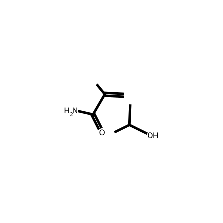 C=C(C)C(N)=O.CC(C)O